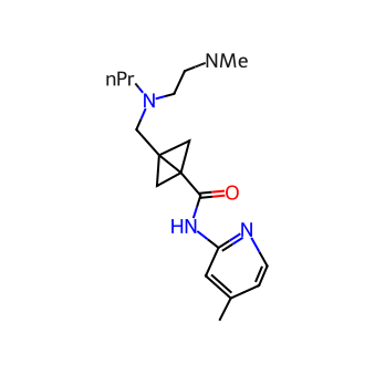 CCCN(CCNC)CC12CC1(C(=O)Nc1cc(C)ccn1)C2